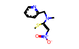 CSC(=C[N+](=O)[O-])N(C)Cc1ccccn1